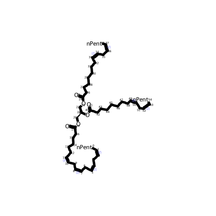 CCCCC/C=C\C/C=C\C/C=C\C/C=C\CCCCCC(=O)OC[C@@H](COC(=O)CCCCCCC/C=C\C/C=C\CCCCC)OC(=O)CCCCCCC/C=C\C/C=C\CCCCC